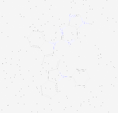 Cn1cnc2nc(-n3c4ccccc4c4cc5c6ccccc6n(-c6ccccc6)c5cc43)ncc21